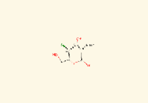 CC(=O)NC1C(O)OC(CO)[C@@H](F)[C@@H]1O